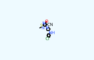 Cc1nc2c(N3CCC(Nc4ccc(Cl)cc4)CC3)c(C#N)c(=O)n(C)c2s1